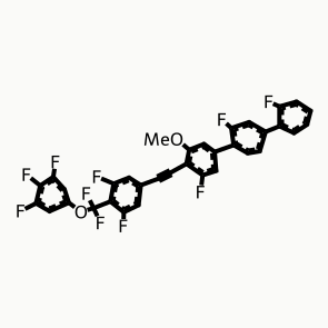 COc1cc(-c2ccc(-c3ccccc3F)cc2F)cc(F)c1C#Cc1cc(F)c(C(F)(F)Oc2cc(F)c(F)c(F)c2)c(F)c1